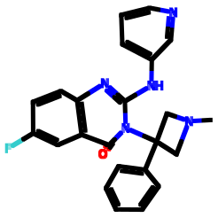 CN1CC(c2ccccc2)(n2c(Nc3cccnc3)nc3ccc(F)cc3c2=O)C1